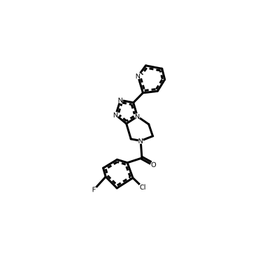 O=C(c1ccc(F)cc1Cl)N1CCn2c(nnc2-c2ccccn2)C1